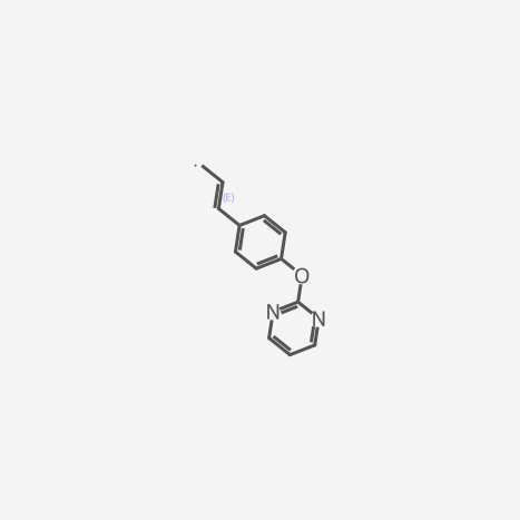 [CH2]/C=C/c1ccc(Oc2ncccn2)cc1